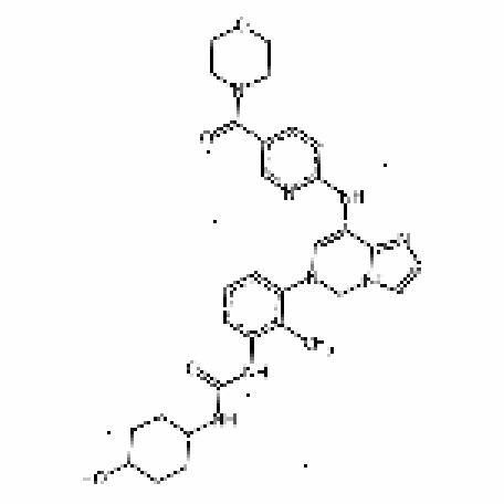 Cc1c(NC(=O)NC2CCC(O)CC2)cccc1N1C=C(Nc2ccc(C(=O)N3CCOCC3)cn2)C2=NC=C[N+]2C1